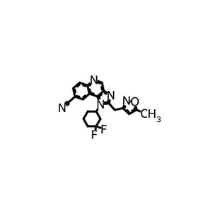 Cc1cc(Cc2nc3cnc4ccc(C#N)cc4c3n2C2CCCC(F)(F)C2)no1